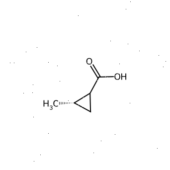 C[C@H]1CC1C(=O)O